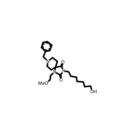 COCCN1C(=O)N(CCCCCCCO)C(=O)C12CCN(Cc1ccccc1)CC2